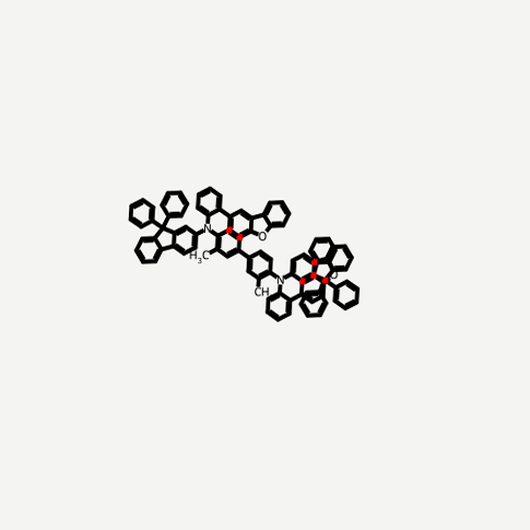 Cc1cc(-c2ccc(N(c3ccc4c(c3)C(c3ccccc3)(c3ccccc3)c3ccccc3-4)c3ccccc3-c3ccc4oc5ccccc5c4c3)c(C)c2)ccc1N(c1ccc2c(c1)C(c1ccccc1)(c1ccccc1)c1ccccc1-2)c1ccccc1-c1ccc2oc3ccccc3c2c1